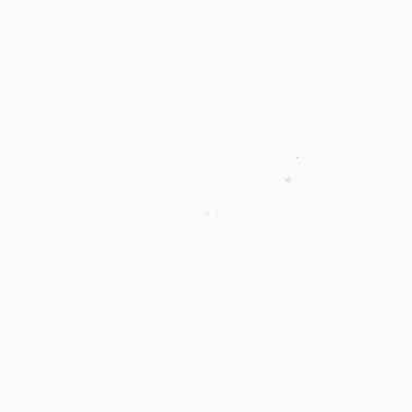 CC(C)(C)[Si](C)(C)CCCOCCC[Si](C)(C)C(C)(C)C